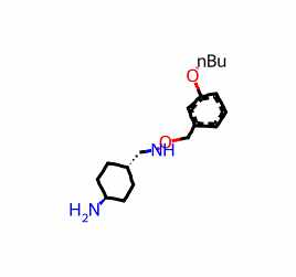 CCCCOc1cccc(CONC[C@H]2CC[C@H](N)CC2)c1